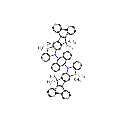 CC1(C)c2ccccc2N(c2c3ccccc3c(N3c4ccccc4C(C)(C)c4cc5c(cc43)C(C)(C)c3c-5c4ccccc4c4ccccc34)c3ccccc23)c2cc3c(cc21)-c1c(c2ccccc2c2ccccc12)C3(C)C